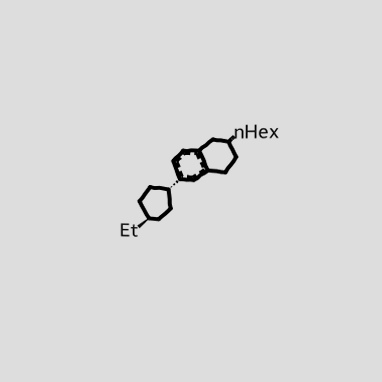 CCCCCCC1CCc2cc([C@H]3CC[C@H](CC)CC3)ccc2C1